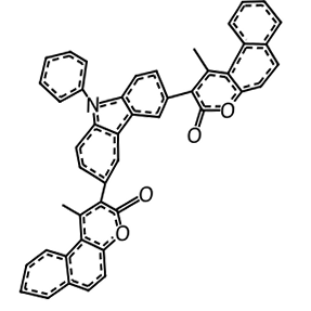 Cc1c(-c2ccc3c(c2)c2cc(-c4c(C)c5c(ccc6ccccc65)oc4=O)ccc2n3-c2ccccc2)c(=O)oc2ccc3ccccc3c12